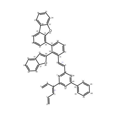 C=C/C=C(\C=C)c1nc(/C=C/c2cccc(-c3cccc4c3oc3ccccc34)c2-c2cc3ccccc3o2)nc(-c2ccccc2)n1